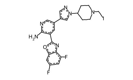 Nc1ncc(-c2cnn(C3CCN(CI)CC3)c2)cc1-c1nc2c(F)cc(F)cc2o1